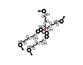 C#Cc1cccc(NC(=O)CCC(=O)OCC(O)COc2ccc3ccc(OCC(O)COC(=O)CCC(=O)Nc4cccc(C#C)c4)c(Cc4c(OCC(O)COC(=O)CCC(=O)Nc5cccc(C#C)c5)ccc5ccc(OCC(O)COC(=O)CCC(=O)Nc6cccc(C#C)c6)cc45)c3c2)c1